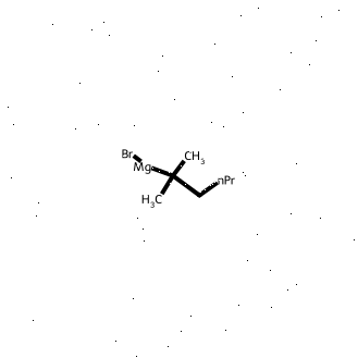 CCCC[C](C)(C)[Mg][Br]